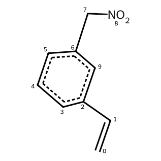 C=Cc1cccc(C[N+](=O)[O-])c1